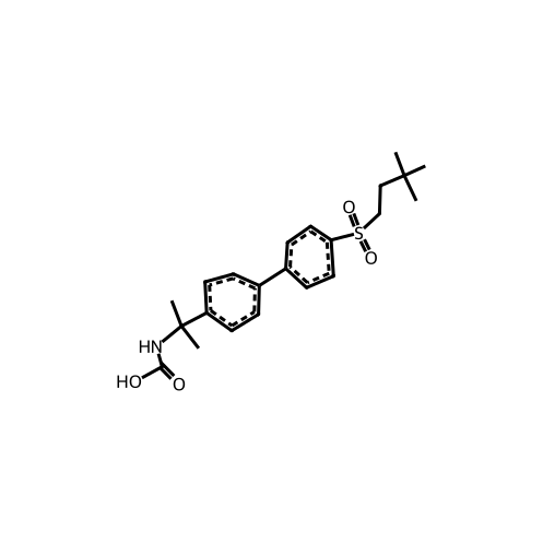 CC(C)(C)CCS(=O)(=O)c1ccc(-c2ccc(C(C)(C)NC(=O)O)cc2)cc1